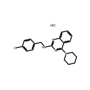 Cl.Clc1ccc(CNc2nc(N3CCCCC3)c3ccccc3n2)cc1